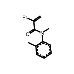 C=C(CC)C(=O)N(C)c1ccccc1C